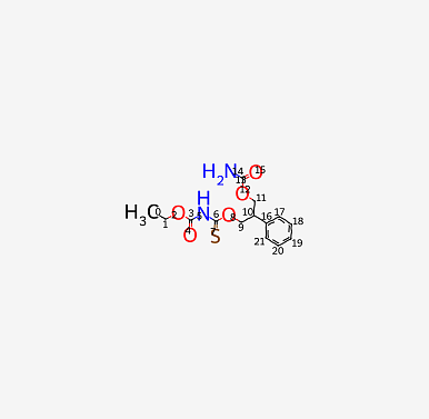 CCOC(=O)NC(=S)OCC(COC(N)=O)c1ccccc1